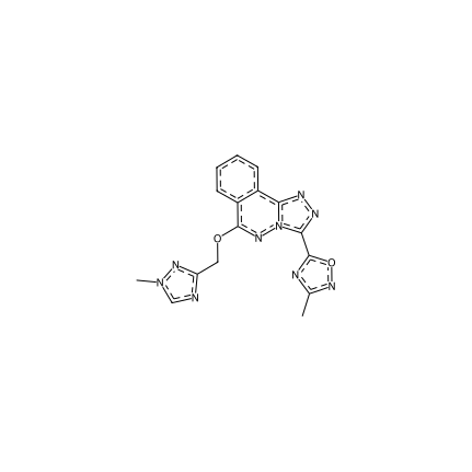 Cc1noc(-c2nnc3c4ccccc4c(OCc4ncn(C)n4)nn23)n1